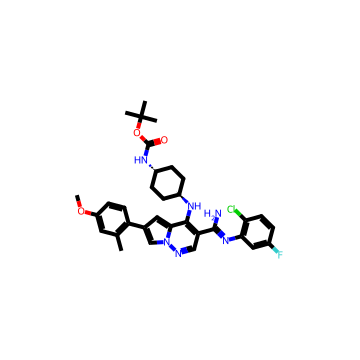 COc1ccc(-c2cc3c(N[C@H]4CC[C@H](NC(=O)OC(C)(C)C)CC4)c(/C(N)=N/c4cc(F)ccc4Cl)cnn3c2)c(C)c1